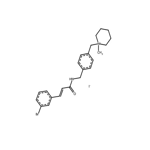 C[N+]1(Cc2ccc(CNC(=O)C=Cc3cccc(Br)c3)cc2)CCCCC1.[I-]